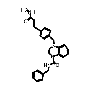 O=C(C=Cc1ccc(CN2CCN(C(=O)NCc3ccccc3)c3ccccc32)cc1)NO